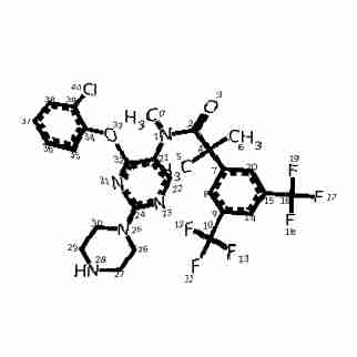 CN(C(=O)C(C)(C)c1cc(C(F)(F)F)cc(C(F)(F)F)c1)c1cnc(N2CCNCC2)nc1Oc1ccccc1Cl